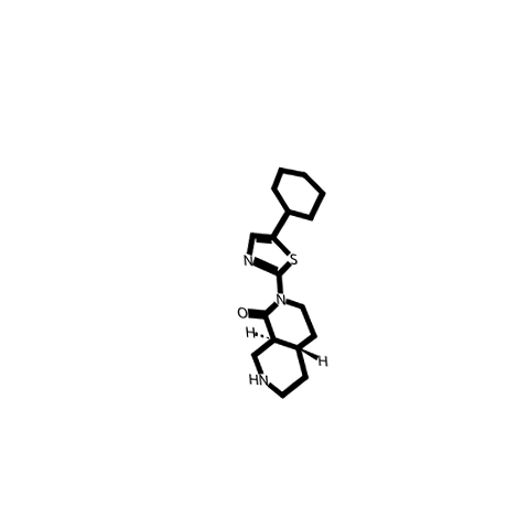 O=C1[C@@H]2CNCC[C@H]2CCN1c1ncc(C2CCCCC2)s1